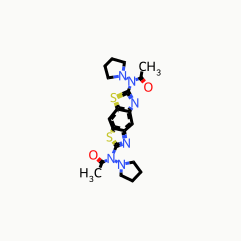 CC(=O)N(c1nc2cc3nc(N(C(C)=O)N4CCCC4)sc3cc2s1)N1CCCC1